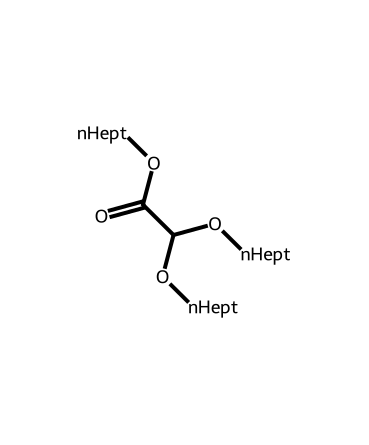 CCCCCCCOC(=O)C(OCCCCCCC)OCCCCCCC